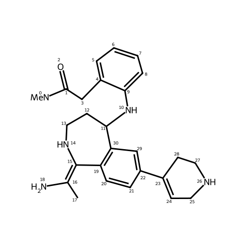 CNC(=O)Cc1ccccc1NC1CCN/C(=C(/C)N)c2ccc(C3=CCNCC3)cc21